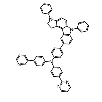 c1ccc(N2CCc3c2ccc2c3c3cc(-c4ccc(N(c5ccc(-c6cccnc6)cc5)c5ccc(-c6ncccn6)cc5)cc4)ccc3n2-c2ccccc2)cc1